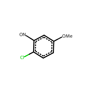 COc1ccc(Cl)c(N=O)c1